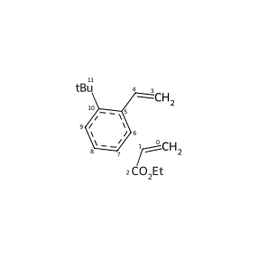 C=CC(=O)OCC.C=Cc1ccccc1C(C)(C)C